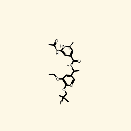 CCOc1cc(C(C)NC(=O)C2=C[C@H](C)NC(NC(C)=O)=C2)cnc1OCC(C)(C)F